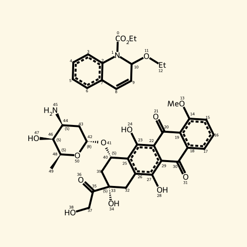 CCOC(=O)N1c2ccccc2C=CC1OCC.COc1cccc2c1C(=O)c1c(O)c3c(c(O)c1C2=O)C[C@@](O)(C(=O)CO)C[C@@H]3O[C@H]1C[C@H](N)[C@H](O)[C@H](C)O1